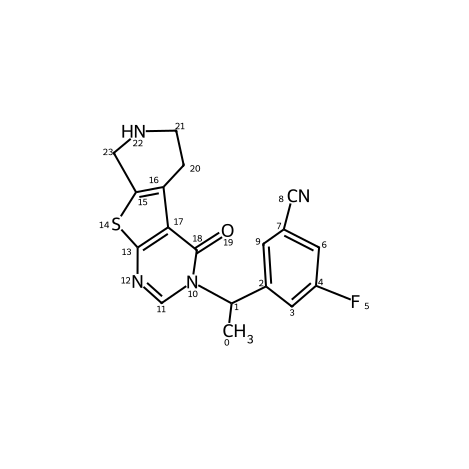 CC(c1cc(F)cc(C#N)c1)n1cnc2sc3c(c2c1=O)CCNC3